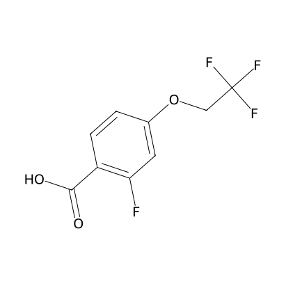 O=C(O)c1ccc(OCC(F)(F)F)cc1F